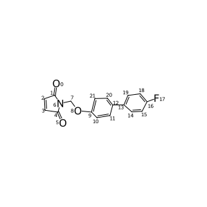 O=C1C=CC(=O)N1COc1ccc(-c2ccc(F)cc2)cc1